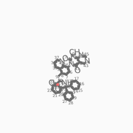 Cn1c(=O)n(-c2ccc(C[C@H](NC(c3ccccc3)(c3ccccc3)c3ccccc3)C(=O)O)c3cccnc23)c(=O)c2cncnc21